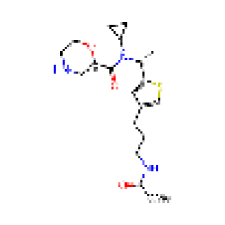 COC(=O)NCCCc1csc([C@@H](C)N(C(=O)[C@H]2CNCCO2)C2CC2)c1